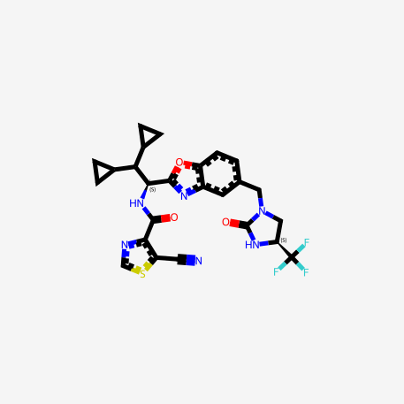 N#Cc1scnc1C(=O)N[C@H](c1nc2cc(CN3C[C@@H](C(F)(F)F)NC3=O)ccc2o1)C(C1CC1)C1CC1